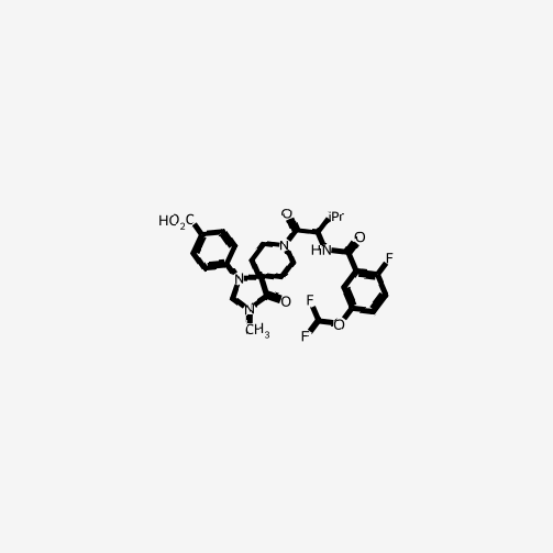 CC(C)C(NC(=O)c1cc(OC(F)F)ccc1F)C(=O)N1CCC2(CC1)C(=O)N(C)CN2c1ccc(C(=O)O)cc1